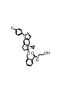 C[C@]1(OCc2ccccc2C(=O)NCCO)CCC2=Cc3c(cnn3-c3ccc(F)cc3)C[C@@]21C1CC1